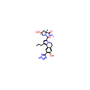 CCCc1cc(C(=O)N2C[C@@H](O)C[C@]2(C)C(N)=O)n2c1-c1cc(-c3nnn(C)n3)c(OC)cc1CC2